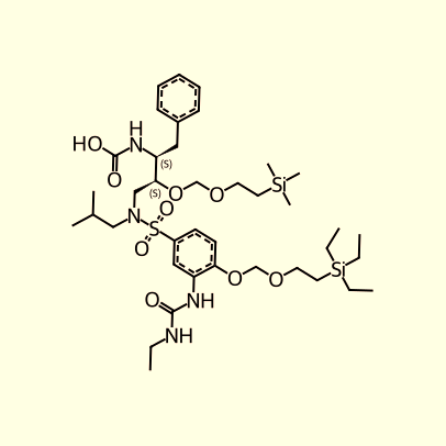 CCNC(=O)Nc1cc(S(=O)(=O)N(CC(C)C)C[C@H](OCOCC[Si](C)(C)C)[C@H](Cc2ccccc2)NC(=O)O)ccc1OCOCC[Si](CC)(CC)CC